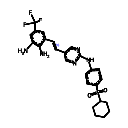 Nc1cc(C(F)(F)F)cc(/C=C/c2cnc(Nc3ccc(S(=O)(=O)C4CCCCC4)cc3)nc2)c1N